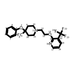 CC1(Oc2ccccc2)CCN(CCOc2ncccc2C(F)(F)F)CC1